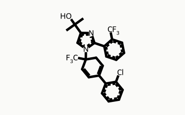 CC(C)(O)c1cn(C2(C(F)(F)F)C=CC(c3ccccc3Cl)=CC2)c(-c2ccccc2C(F)(F)F)n1